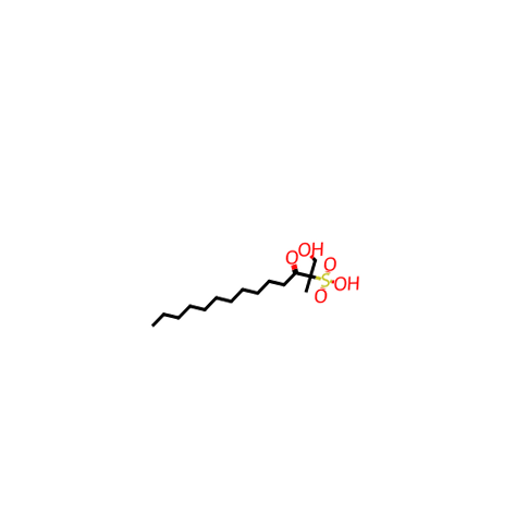 CCCCCCCCCCCC(=O)C(C)(CO)S(=O)(=O)O